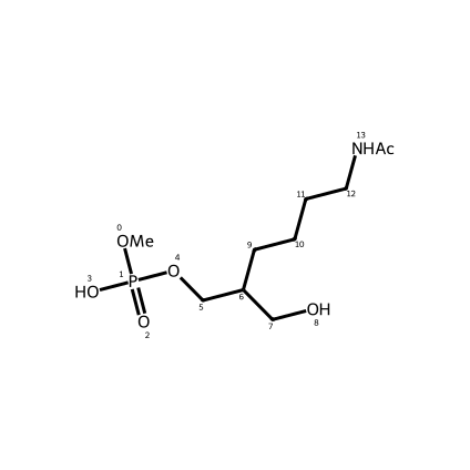 COP(=O)(O)OCC(CO)CCCCNC(C)=O